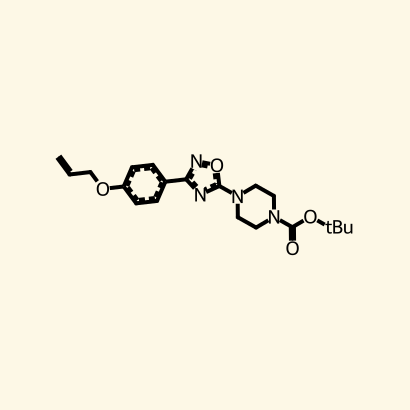 C=CCOc1ccc(-c2noc(N3CCN(C(=O)OC(C)(C)C)CC3)n2)cc1